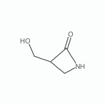 O=C1NCC1CO